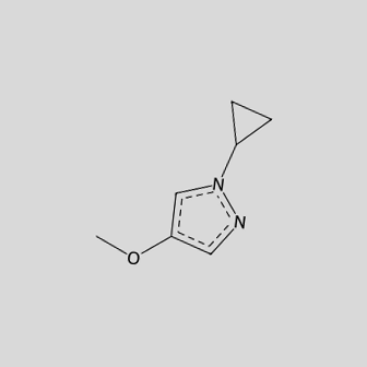 COc1cnn(C2CC2)c1